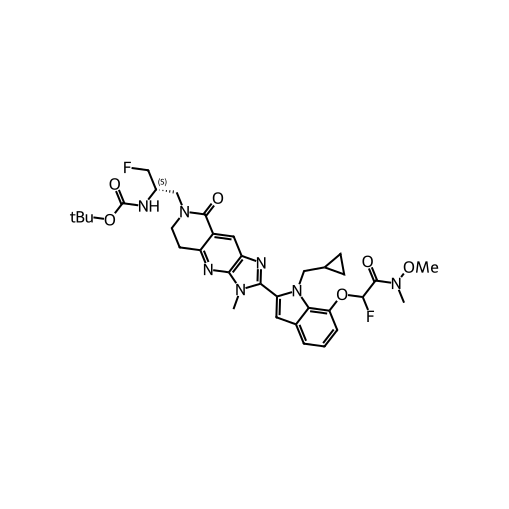 CON(C)C(=O)C(F)Oc1cccc2cc(-c3nc4cc5c(nc4n3C)CCN(C[C@@H](CF)NC(=O)OC(C)(C)C)C5=O)n(CC3CC3)c12